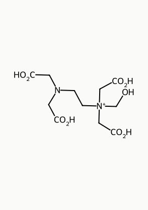 O=C(O)CN(CC[N+](CO)(CC(=O)O)CC(=O)O)CC(=O)O